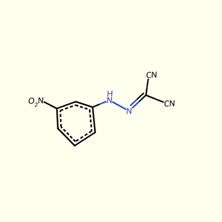 N#CC(C#N)=NNc1cccc([N+](=O)[O-])c1